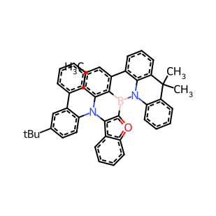 Cc1cc2c3c(c1)N(c1ccc(C(C)(C)C)cc1-c1ccccc1)c1c(oc4ccccc14)B3N1c3ccccc3C(C)(C)c3cccc-2c31